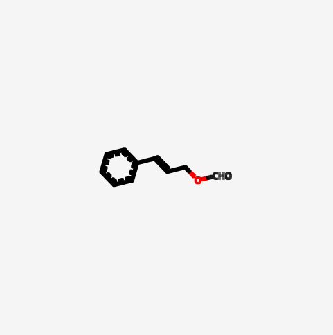 O=COCC=Cc1ccccc1